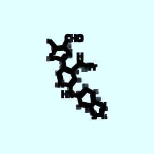 Cc1sc(-c2cnc(Nc3ccc4ncsc4c3)cc2NC(C)C)nc1C=O